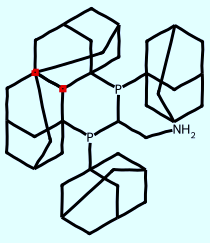 NCC(P(C12CC3CC(CC(C3)C1)C2)C12CC3CC(CC(C3)C1)C2)P(C12CC3CC(CC(C3)C1)C2)C12CC3CC(CC(C3)C1)C2